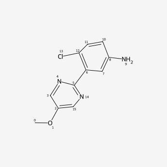 COc1cnc(-c2cc(N)ccc2Cl)nc1